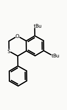 CC(C)(C)c1cc2c(c(C(C)(C)C)c1)OCSC2c1ccccc1